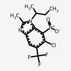 CCC(C)n1c(C)nc2cc(C(F)(F)F)c(Cl)c([N+](=O)[O-])c21